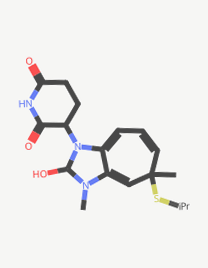 CC(C)SC1(C)C=CC=C2C(=C1)N(C)C(O)N2C1CCC(=O)NC1=O